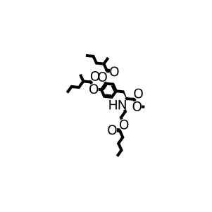 CCCCC(=O)OCCN[C@@H](Cc1ccc(OC(=O)C(C)CCC)c(OC(=O)C(C)CCC)c1)C(=O)OC